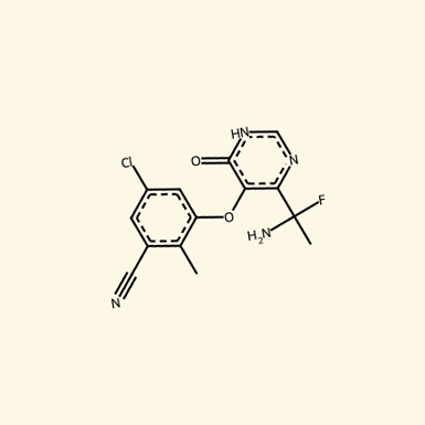 Cc1c(C#N)cc(Cl)cc1Oc1c(C(C)(N)F)nc[nH]c1=O